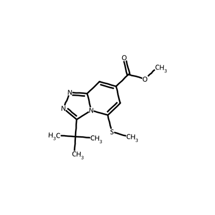 COC(=O)c1cc(SC)n2c(C(C)(C)C)nnc2c1